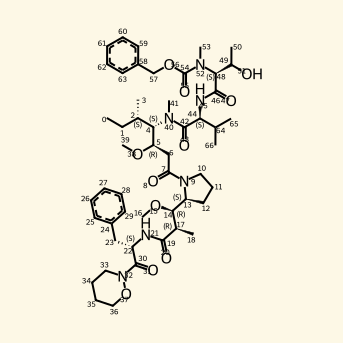 CC[C@H](C)[C@@H]([C@@H](CC(=O)N1CCC[C@H]1[C@H](OC)[C@@H](C)C(=O)N[C@@H](Cc1ccccc1)C(=O)N1CCCCO1)OC)N(C)C(=O)[C@@H](NC(=O)[C@H](C(C)O)N(C)C(=O)OCc1ccccc1)C(C)C